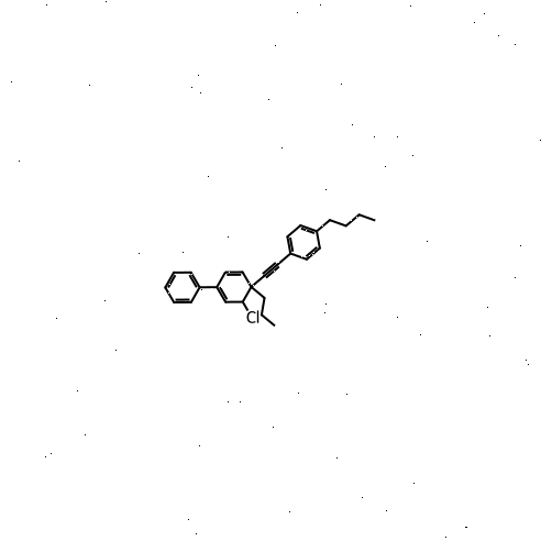 CCCCc1ccc(C#CC2(CCC)C=CC(c3ccccc3)=CC2Cl)cc1